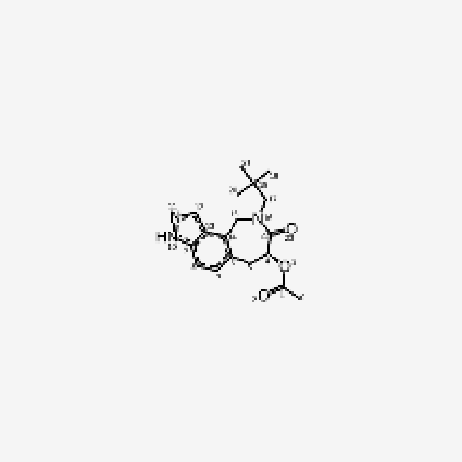 CC(=O)O[C@H]1Cc2ccc3[nH]ncc3c2CN(CC(C)(C)C)C1=O